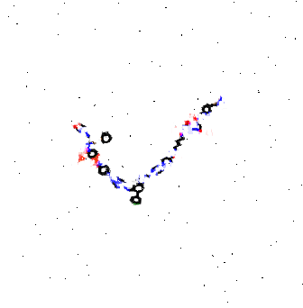 Cc1ncsc1-c1ccc([C@H](C)NC(=O)[C@@H]2C[C@@H](O)CN2C(=O)[C@@H](NC(=O)CCCCCNC(=O)c2ccc(N3CCN(CCN(C)CC4(C)CCC(c5ccc(Cl)cc5)=C(CN5CCN(c6ccc(C(=O)NS(=O)(=O)c7ccc(N[C@H](CCN8CCOCC8)CSc8ccccc8)c(S(=O)(=O)C(F)(F)F)c7)cc6)CC5)C4)CC3)nc2)C(C)(C)C)cc1